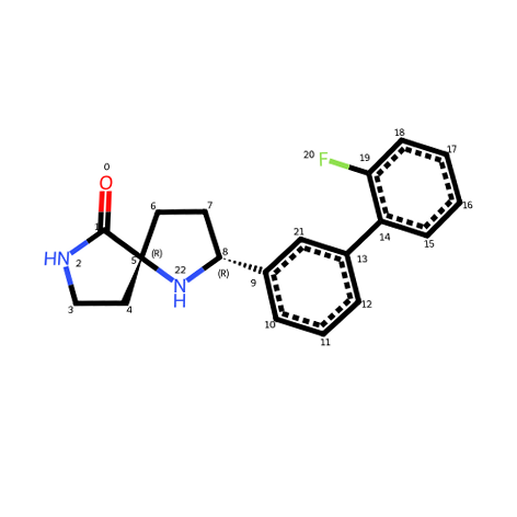 O=C1NCC[C@]12CC[C@H](c1cccc(-c3ccccc3F)c1)N2